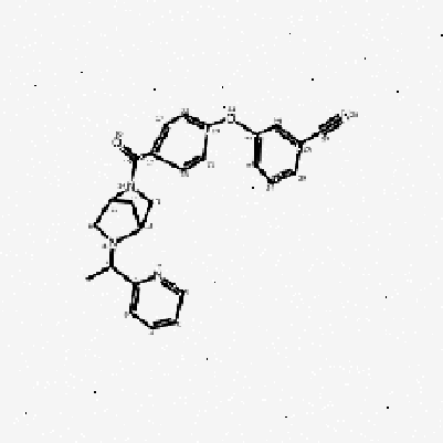 CC(c1ccccn1)N1CC2CC1CN2C(=O)c1ccc(Oc2cccc(C#N)c2)cc1